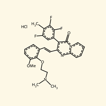 COc1cccc(C=Cc2nc3ccccn3c(=O)c2-c2cc(F)c(C)c(F)c2F)c1OCCN(C)C.Cl